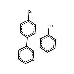 Oc1ccccc1.[Cs][c]1ccc(-c2cccnc2)cc1